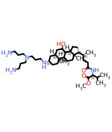 COC(=O)[C@@H](NC(=O)CC[C@@H](C)[C@H]1CC[C@H]2[C@@H]3[C@H](O)C[C@@H]4C[C@@H](NCCCN(CCCN)CCCN)CC[C@]4(C)[C@H]3CC[C@]12C)C(C)C